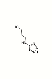 OCCCNc1c[nH]nn1